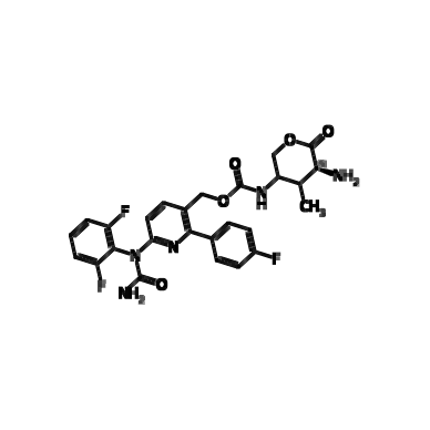 CC1C(NC(=O)OCc2ccc(N(C(N)=O)c3c(F)cccc3F)nc2-c2ccc(F)cc2)COC(=O)[C@H]1N